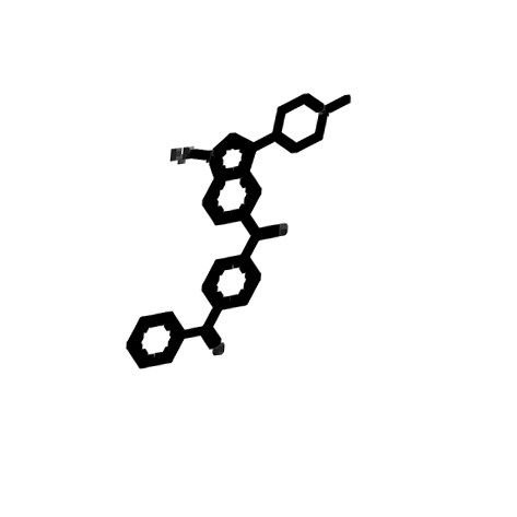 CN1CCC(c2cn(N)c3ccc(C(=O)c4ccc(C(=O)c5ccccc5)cc4)cc23)CC1